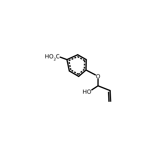 C=CC(O)Oc1ccc(C(=O)O)cc1